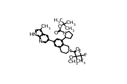 COC(C)(C(=O)N1CCc2cc(-c3cnc4[nH]cc(C)c4c3)cc(C3CCCN3C(=O)OC(C)(C)C)c2C1)C(F)(F)F